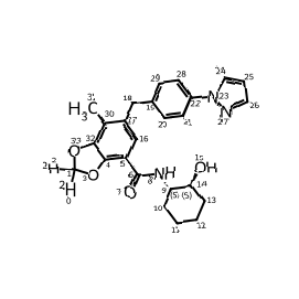 [2H]C1([2H])Oc2c(C(=O)N[C@H]3CCCC[C@@H]3O)cc(Cc3ccc(-n4cccn4)cc3)c(C)c2O1